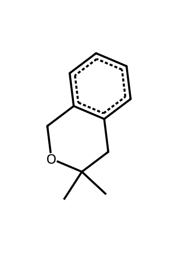 CC1(C)Cc2ccccc2CO1